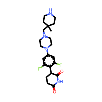 CC1(CN2CCN(c3cc(F)c(C4CCC(=O)NC4=O)c(F)c3)CC2)CCNCC1